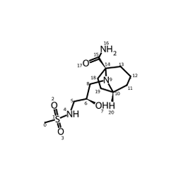 CS(=O)(=O)NC[C@H](O)CN1[C@@H]2C[CH]C[C@@]1(C(N)=O)CC2